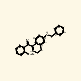 COc1ccccc1C(=O)C1=NCCc2cc(OCc3ccccc3)ccc21